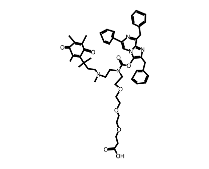 CC1=C(C)C(=O)C(C(C)(C)CCN(C)CCN(CCOCCOCCOCCC(=O)O)C(=O)Oc2c(Cc3ccccc3)nc3c(Cc4ccccc4)nc(-c4ccccc4)cn23)=C(C)C1=O